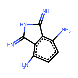 N=C1NC(=N)c2c(N)ccc(N)c21